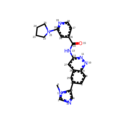 Cn1cncc1-c1ccc2nnc(NC(=O)c3ccnc(N4CCCC4)c3)cc2c1